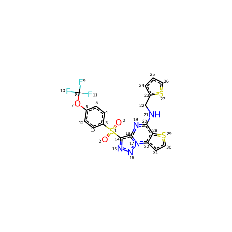 O=S(=O)(c1ccc(OC(F)(F)F)cc1)c1nnn2c1nc(NCc1cccs1)c1sccc12